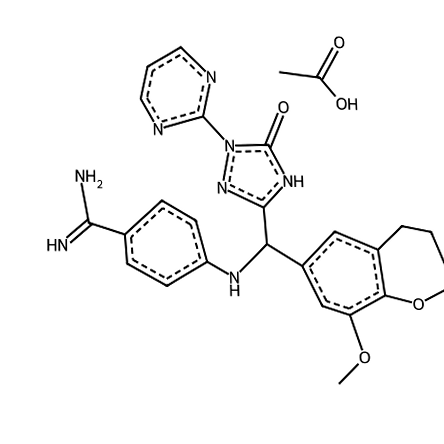 CC(=O)O.COc1cc(C(Nc2ccc(C(=N)N)cc2)c2nn(-c3ncccn3)c(=O)[nH]2)cc2c1OCCC2